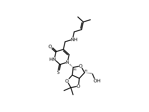 CC(C)=CCNCc1cn([C@@H]2O[C@H](CO)C3OC(C)(C)OC32)c(=S)[nH]c1=O